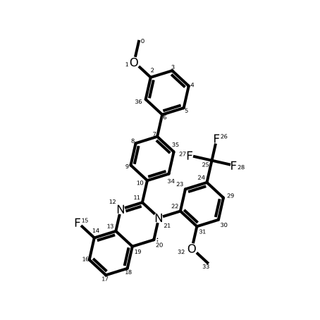 COc1cccc(-c2ccc(C3=Nc4c(F)cccc4[C]N3c3cc(C(F)(F)F)ccc3OC)cc2)c1